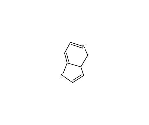 C1=CC2CN=CC=C2S1